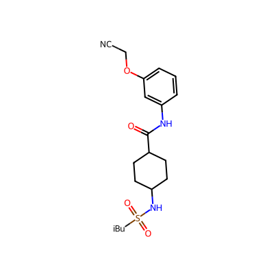 CCC(C)S(=O)(=O)NC1CCC(C(=O)Nc2cccc(OCC#N)c2)CC1